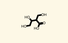 O=C(O)C(CO)C(O)CO